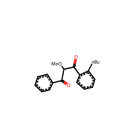 CCCCc1ccccc1C(=O)C(OC)C(=O)c1ccccc1